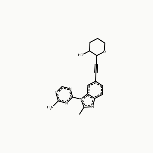 Cc1nc2ccc(C#CC3OCCCC3O)cc2n1-c1ncnc(N)n1